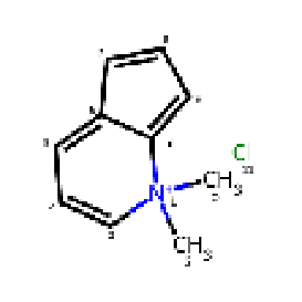 C[N+]1(C)C=CC=C2C=CC=C21.[Cl-]